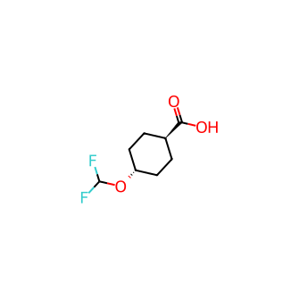 O=C(O)[C@H]1CC[C@H](OC(F)F)CC1